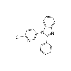 Clc1ccc(-n2c(-c3ccccc3)nc3ccccc32)cn1